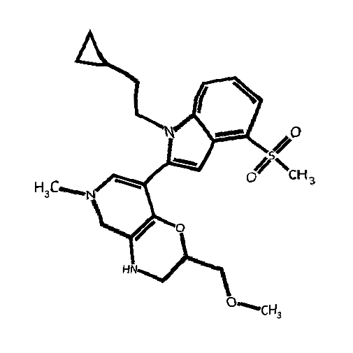 COCC1CNC2=C(O1)C(c1cc3c(S(C)(=O)=O)cccc3n1CCC1CC1)=CN(C)C2